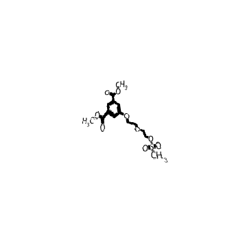 COC(=O)c1cc(OCCOCCOS(C)(=O)=O)cc(C(=O)OC)c1